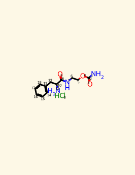 Cl.NC(=O)OCCNC(=O)C(N)Cc1ccccc1